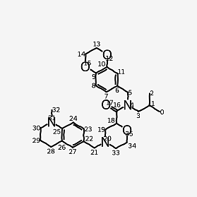 CC(C)CN(Cc1ccc2c(c1)OCCO2)C(=O)C1CN(Cc2ccc3c(c2)CCCN3C)CCO1